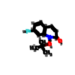 CC(C)(C)On1c(=O)ccc2ccc(F)cc21